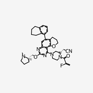 C=C(F)C(=O)N1CCN(c2nc(OC[C@@H]3CCCN3C)nc3cc(-c4cccc5c4CCCC5)c4c(c23)OCCC4)C[C@@H]1CC#N